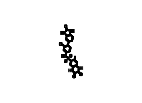 Cc1cc2[nH]c(=O)c(=O)[nH]c2cc1S(=O)(=O)Nc1ccc(-c2ccc3[nH]c(=O)[nH]c3c2)c(Cl)c1